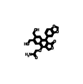 NC(=O)COc1c2c(c(-c3ccc4c(c3)OCO4)c3cc(CO)c(CO)cc13)C(=O)OC2